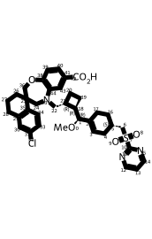 CO[C@@H](C1=CC[C@@H](CS(=O)(=O)c2ncccn2)CC1)[C@@H]1CC[C@H]1CN1CC2(CCCc3cc(Cl)ccc32)COc2ccc(C(=O)O)cc21